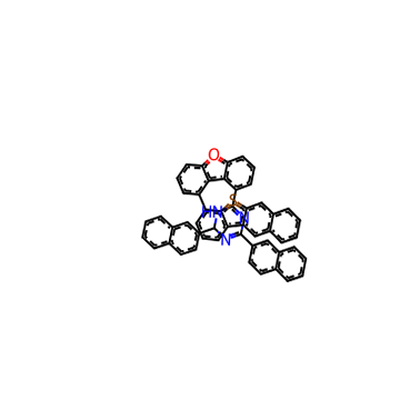 c1ccc2cc(C3=NC(c4ccc5ccccc5c4)NC(c4cccc5oc6cccc(-c7cccc8c7sc7cc9ccccc9cc78)c6c45)=N3)ccc2c1